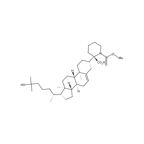 C[C@H](CCCC(C)(C)O)[C@H]1CC[C@H]2[C@@H]3CC=C4C[C@@H]([C@]5(C(=O)O)CCCCN5C(=O)OC(C)(C)C)CC[C@]4(C)[C@H]3CC[C@]12C